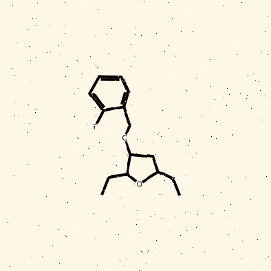 CCC1CC(OCc2ccccc2F)C(CC)O1